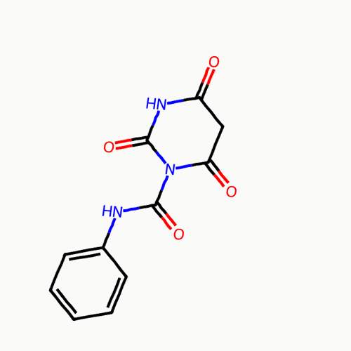 O=C1CC(=O)N(C(=O)Nc2ccccc2)C(=O)N1